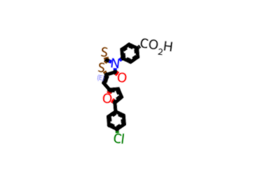 O=C(O)c1ccc(N2C(=O)/C(=C\c3ccc(-c4ccc(Cl)cc4)o3)SC2=S)cc1